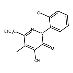 CCOC(=O)c1nn(-c2ccccc2Cl)c(=O)c(C#N)c1C